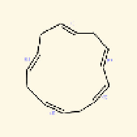 [C]1=C/C=C\C/C=C\C/C=C/C/C=C/C/1